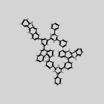 c1ccc(-c2nc(-c3ccccc3)nc(-c3cc(-c4ccc5nc6c(cc5c4)oc4ccccc46)cc(-c4cc5ccccc5c5c(-c6cccc(-c7nc(-c8ccccc8)nc(-c8cccc(-c9c%10ccccc%10nc%10c9oc9ccccc9%10)c8)n7)c6)cccc45)c3)n2)cc1